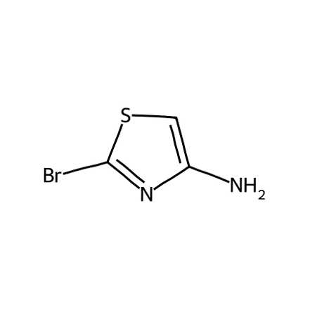 Nc1csc(Br)n1